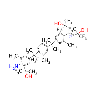 Cc1cc(C(C)(C)c2ccc(C(C)(C)c3cc(C)c(N)c(C(C)(O)C(F)(F)F)c3)c(C)c2)ccc1/C(=C/C(O)(C(F)(F)F)C(F)(F)F)CC(O)(C(F)(F)F)C(F)(F)F